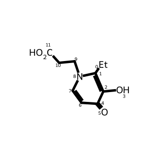 CCc1c(O)c(=O)ccn1CCC(=O)O